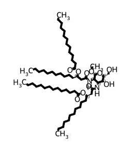 CCCCCCCCCCCCCC(=O)O[C@H](CCCCCCCCCCC)CC(=O)N[C@H]1[C@@H](OC)O[C@H](CO)[C@@H](O)[C@@H]1NC(=O)C[C@@H](CCCCCCCCCCC)OC(=O)CCCCCCCCCCCCC